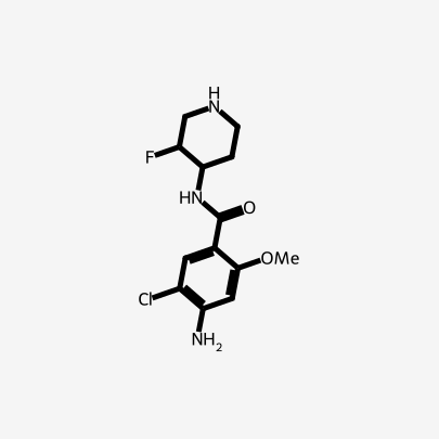 COc1cc(N)c(Cl)cc1C(=O)NC1CCNCC1F